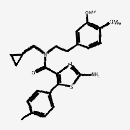 COc1ccc(CCN(CC2CC2)C(=O)c2nc(N)sc2-c2ccc(C)cc2)cc1OC